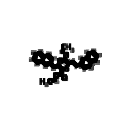 CCOC(=O)C(CCc1ccc2ccccc2c1)SC(CCc1ccc2ccccc2c1)C(=O)OCC